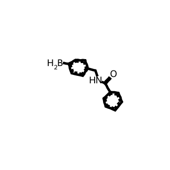 Bc1ccc(CNC(=O)c2ccccc2)cc1